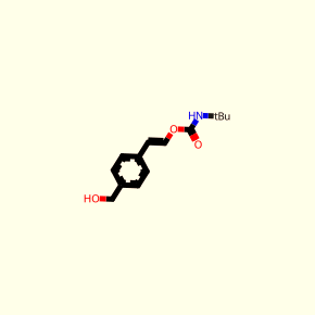 CC(C)(C)NC(=O)OC=Cc1ccc(CO)cc1